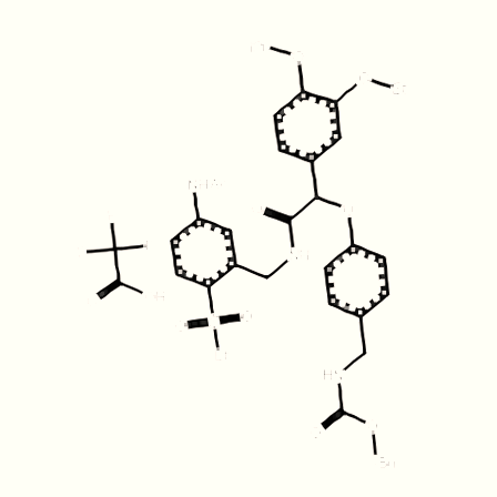 CCOc1cc(C(Oc2ccc(CNC(=O)OC(C)(C)C)cc2)C(=O)NCc2cc(NC(C)=O)ccc2S(=O)(=O)CC)ccc1OC(C)C.O=C(O)C(F)(F)F